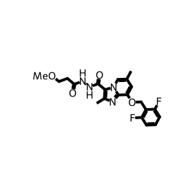 COCCC(=O)NNC(=O)c1c(C)nc2c(OCc3c(F)cccc3F)cc(C)cn12